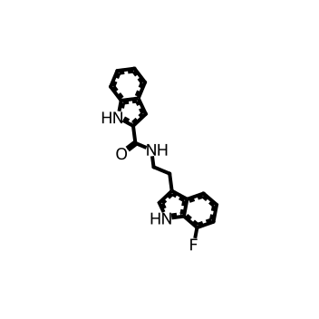 O=C(NCCc1c[nH]c2c(F)cccc12)c1cc2ccccc2[nH]1